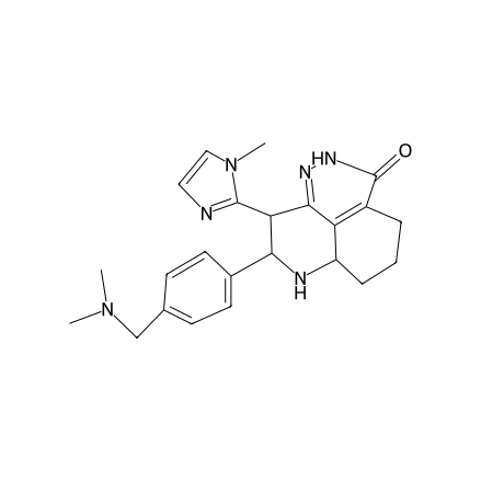 CN(C)Cc1ccc(C2NC3CCCc4c3c(n[nH]c4=O)C2c2nccn2C)cc1